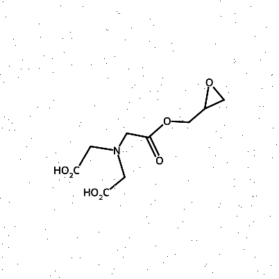 O=C(O)CN(CC(=O)O)CC(=O)OCC1CO1